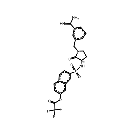 N=C(N)c1cccc(CN2CC[C@H](NS(=O)(=O)c3ccc4ccc(OC(=O)C(F)(F)F)cc4c3)C2=O)c1